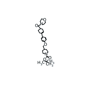 CC(C)(C)OC(=O)N1CCC(COc2ccc(C3=CCC(C(=O)N4CCOCC4)CC3)cc2)CC1